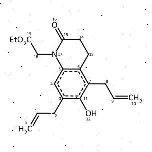 C=CCc1cc2c(c(CC=C)c1O)CCC(=O)N2CC(=O)OCC